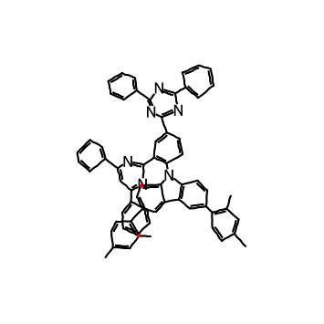 Cc1ccc(-c2ccc3c(c2)c2cc(-c4ccc(C)cc4C)ccc2n3-c2ccc(-c3nc(-c4ccccc4)nc(-c4ccccc4)n3)cc2-c2nc(-c3ccccc3)cc(-c3ccccc3)n2)c(C)c1